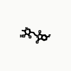 CC1=NC=C(CCN2C(=O)c3ccc(F)cc3C2=O)C(=O)C1O